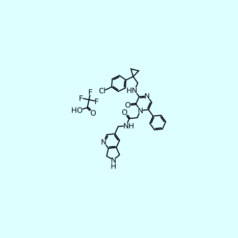 O=C(Cn1c(-c2ccccc2)cnc(NCC2(c3ccc(Cl)cc3)CC2)c1=O)NCc1cnc2c(c1)CNC2.O=C(O)C(F)(F)F